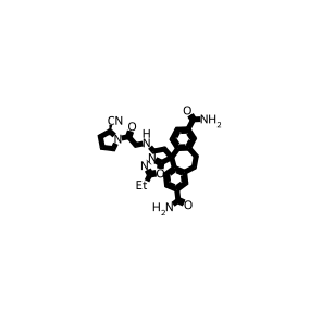 CCc1nnc(C2(CCNCC(=O)N3CCC[C@H]3C#N)c3ccc(C(N)=O)cc3CCc3cc(C(N)=O)ccc32)o1